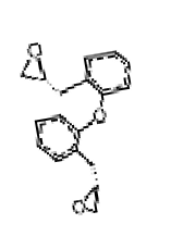 c1ccc(Oc2ccccc2C[C@@H]2CO2)c(C[C@@H]2CO2)c1